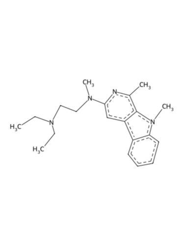 CCN(CC)CCN(C)c1cc2c3ccccc3n(C)c2c(C)n1